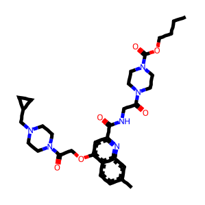 CCCCOC(=O)N1CCN(C(=O)CNC(=O)c2cc(OCC(=O)N3CCN(CC4CC4)CC3)c3ccc(C)cc3n2)CC1